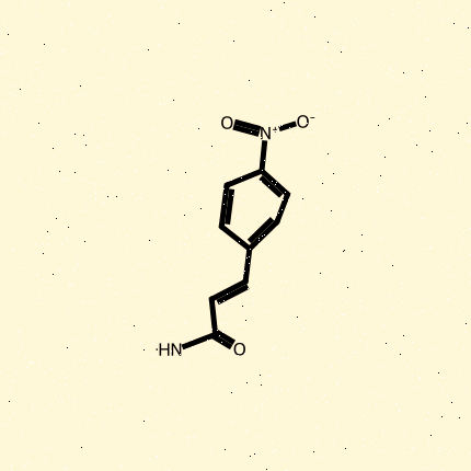 [NH]C(=O)C=Cc1ccc([N+](=O)[O-])cc1